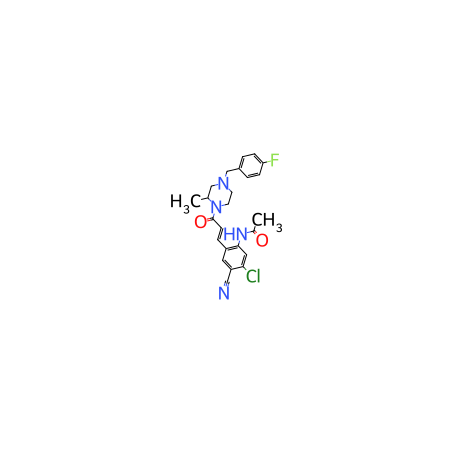 CC(=O)Nc1cc(Cl)c(C#N)cc1C=CC(=O)N1CCN(Cc2ccc(F)cc2)CC1C